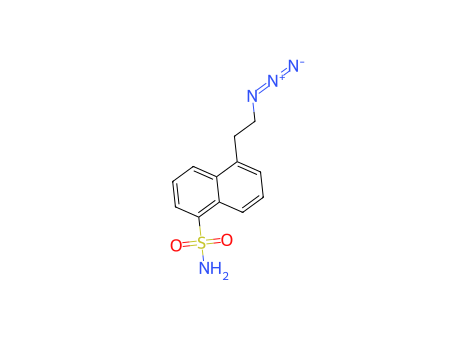 [N-]=[N+]=NCCc1cccc2c(S(N)(=O)=O)cccc12